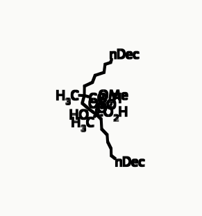 CCCCCCCCCCCCCCCCC(C)(CC(O)(OS(=O)(=O)OC)C(C)(CCCCCCCCCCCCCCCC)C(=O)O)C(=O)O